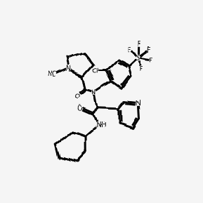 N#CN1CCCC1C(=O)N(c1ccc(S(F)(F)(F)(F)F)cc1Cl)C(C(=O)NC1CCCCC1)c1cccnc1